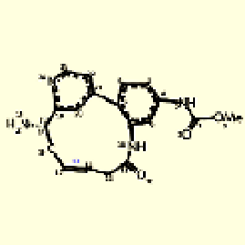 COC(=O)Nc1ccc2c(c1)NC(=O)C/C=C/C[C@H](N)c1cc-2ccn1